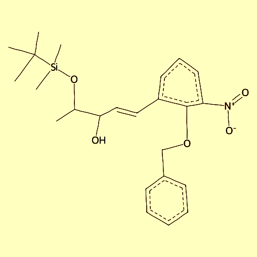 CC(O[Si](C)(C)C(C)(C)C)C(O)C=Cc1cccc([N+](=O)[O-])c1OCc1ccccc1